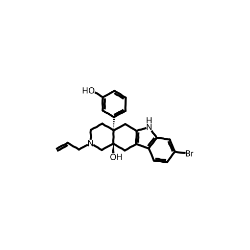 C=CCN1CC[C@@]2(c3cccc(O)c3)Cc3[nH]c4cc(Br)ccc4c3C[C@]2(O)C1